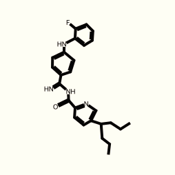 CCCC(CCC)c1ccc(C(=O)NC(=N)c2ccc(Nc3ccccc3F)cc2)nc1